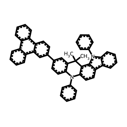 CC1(C)c2cc(-c3ccc4c5ccccc5c5ccccc5c4c3)ccc2N(c2ccccc2)c2ccc3c4ccccc4n(-c4ccccc4)c3c21